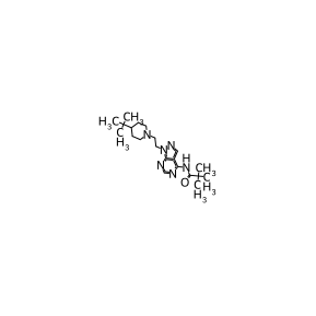 CC(C)(C)C(=O)Nc1ncnc2c1cnn2CCN1CCC(C(C)(C)C)CC1